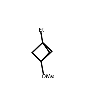 CCC12CC(OC)(C1)C2